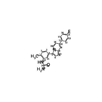 Cc1ccc(-c2cnc3cc(-c4ccc(F)cc4)ccn23)cc1NC(N)=O